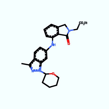 CCOC(=O)CN1Cc2cccc(Nc3ccc4c(C)nn(C5CCCCO5)c4c3)c2C1=O